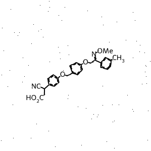 CON=C(COc1ccc(COc2ccc(C(C#N)CC(=O)O)cc2)cc1)c1cccc(C)c1